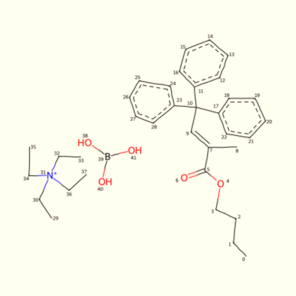 CCCCOC(=O)C(C)=CC(c1ccccc1)(c1ccccc1)c1ccccc1.CC[N+](CC)(CC)CC.OB(O)O